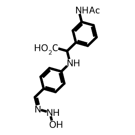 CC(=O)Nc1cccc(C(Nc2ccc(/C=N\NO)cc2)C(=O)O)c1